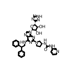 O=C(Nc1cccnc1)N[C@@H]1CCN(c2nc(NCC(c3ccccc3)c3ccccc3)c3ncn([C@@H]4O[C@H](c5nn[nH]n5)[C@@H](O)[C@H]4O)c3n2)C1